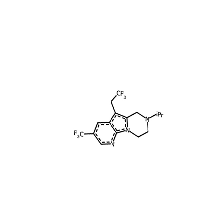 CC(C)N1CCn2c(c(CC(F)(F)F)c3cc(C(F)(F)F)cnc32)C1